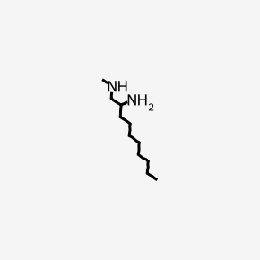 CCCCCCCCC(N)CNC